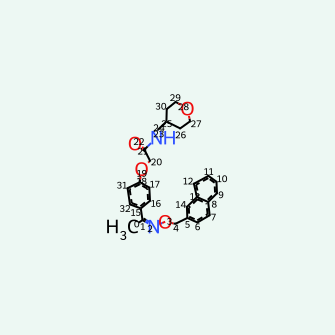 CC(=NOCc1ccc2ccccc2c1)c1ccc(OCC(=O)NCC2CCOCC2)cc1